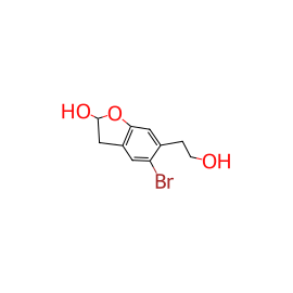 OCCc1cc2c(cc1Br)CC(O)O2